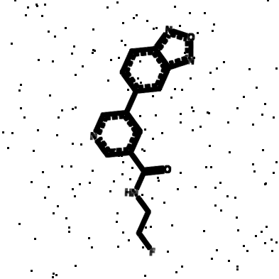 O=C(NCCF)c1cncc(-c2ccc3nonc3c2)c1